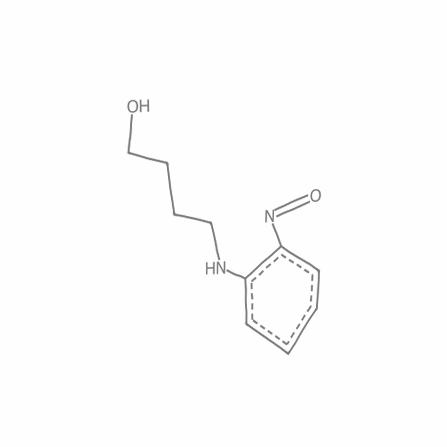 O=Nc1ccccc1NCCCCO